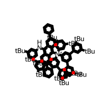 CC(C)(C)c1cc(Nc2c3cc(-c4ccccc4)ccc3c([N+](c3cc(-c4cc(C(C)(C)C)cc(C(C)(C)C)c4)cc(-c4cc(C(C)(C)C)cc(C(C)(C)C)c4)c3)(c3cc(-c4cc(C(C)(C)C)cc(C(C)(C)C)c4)cc(-c4cc(C(C)(C)C)cc(C(C)(C)C)c4)c3)c3cc(C(C)(C)C)cc(C(C)(C)C)c3)c3cc(-c4ccccc4)ccc23)cc(C(C)(C)C)c1